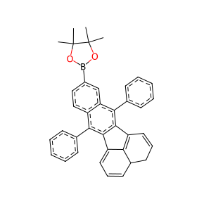 CC1(C)OB(c2ccc3c(-c4ccccc4)c4c(c(-c5ccccc5)c3c2)C2=C3C4=CC=CC3CC=C2)OC1(C)C